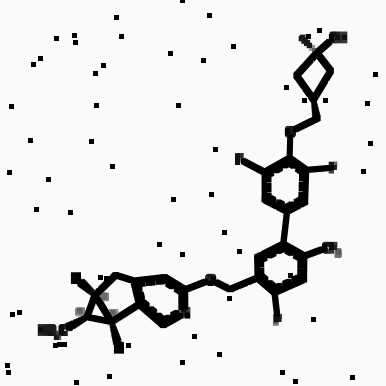 C[C@]1(O)C[C@@H](COc2c(F)cc(-c3cc(COc4cc5c(cn4)[C@H]4[C@@H](C5)[C@@H]4C(=O)O)c(F)cc3C(F)(F)F)cc2F)C1